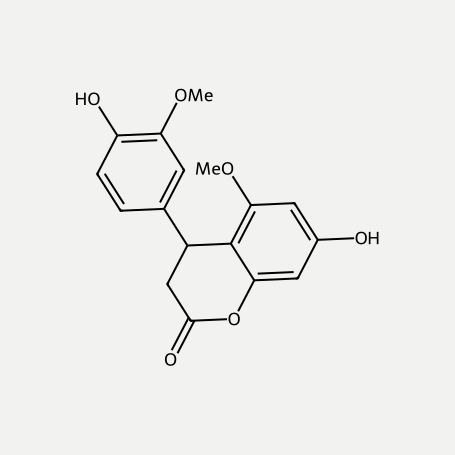 COc1cc(C2CC(=O)Oc3cc(O)cc(OC)c32)ccc1O